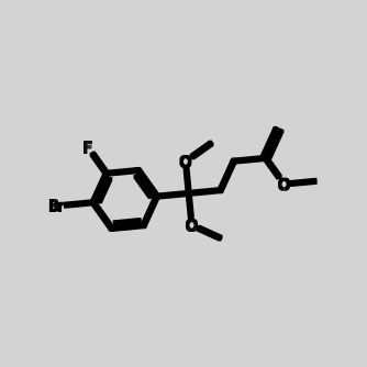 C=C(CCC(OC)(OC)c1ccc(Br)c(F)c1)OC